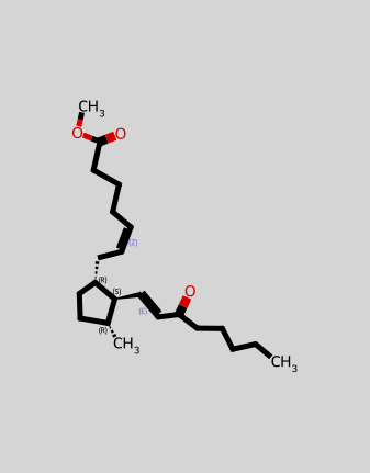 CCCCCC(=O)/C=C/[C@@H]1[C@@H](C/C=C\CCCC(=O)OC)CC[C@H]1C